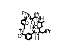 Cc1ccc(CN(C)C(=O)c2cccc(C(=O)NC(CC(C)C)C(O)CC(C)C(=O)NC(C(=O)NCC(C)C)C(C)C)c2)o1